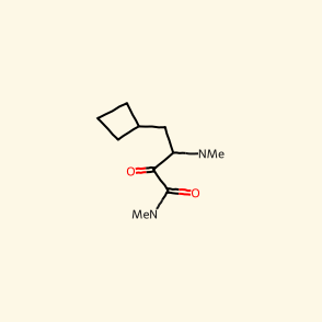 CNC(=O)C(=O)C(CC1CCC1)NC